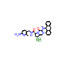 Cc1nc(N)ccc1CNC(=O)[C@@H]1CCc2cnc(N(C)C3c4ccccc4Cc4ccccc43)c(=O)n21.Cl.Cl